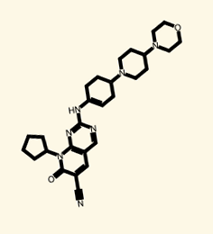 N#Cc1cc2cnc(NC3=CCC(N4CCC(N5CCOCC5)CC4)CC3)nc2n(C2CCCC2)c1=O